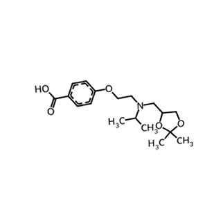 CC(C)N(CCOc1ccc(C(=O)O)cc1)CC1COC(C)(C)O1